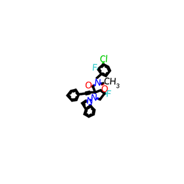 CC(=O)N(Cc1cccc(Cl)c1F)C(=O)C1(C#Cc2ccccc2)CC(F)CN1n1ccc2ccccc21